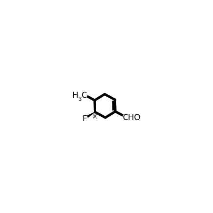 CC1CC=C(C=O)C[C@H]1F